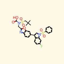 CC(C)(C)CS(=O)(=O)N(Cc1nc2ccc(-c3cn(S(=O)(=O)c4ccccc4)c4cc(F)ccc34)cc2o1)C(=O)O